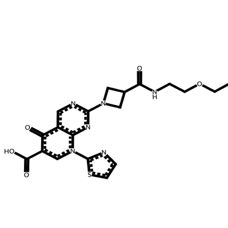 CCOCCNC(=O)C1CN(c2ncc3c(=O)c(C(=O)O)cn(-c4nccs4)c3n2)C1